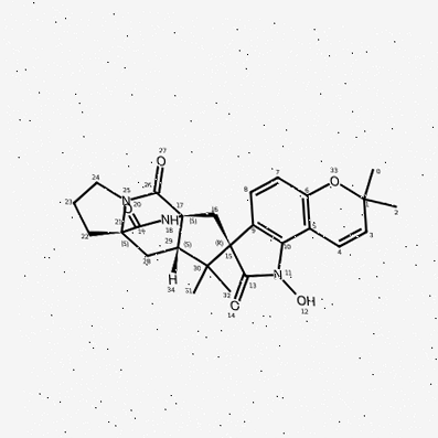 CC1(C)C=Cc2c(ccc3c2N(O)C(=O)[C@@]32C[C@@]34NC(=O)[C@]5(CCCN5C3=O)C[C@H]4C2(C)C)O1